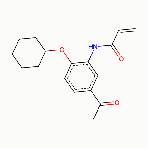 C=CC(=O)Nc1cc(C(C)=O)ccc1OC1CCCCC1